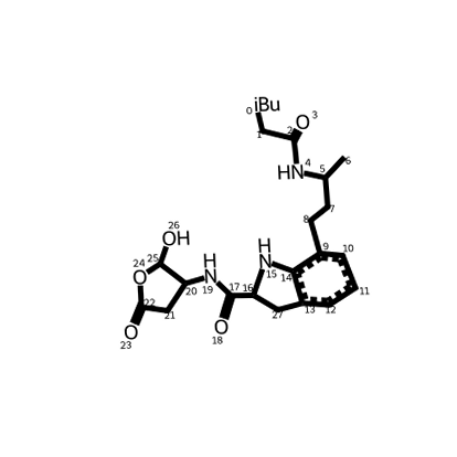 CCC(C)CC(=O)NC(C)CCc1cccc2c1NC(C(=O)NC1CC(=O)OC1O)C2